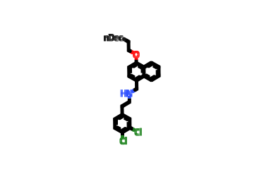 CCCCCCCCCCCCOc1ccc(CNCCc2ccc(Cl)c(Cl)c2)c2ccccc12